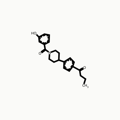 CCCC(=O)c1ccc(C2CCN(C(=O)c3cccc(O)c3)CC2)cc1